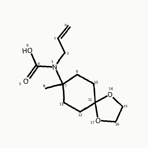 C=CCN(C(=O)O)C1(C)CCC2(CC1)OCCO2